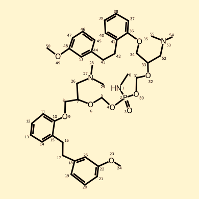 CNP(=O)(OCOC(COc1ccccc1CCc1cccc(OC)c1)CN(C)C)OCOC(COc1ccccc1CCc1cccc(OC)c1)CN(C)C